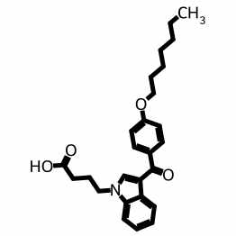 CCCCCCCOc1ccc(C(=O)c2cn(CCCC(=O)O)c3ccccc23)cc1